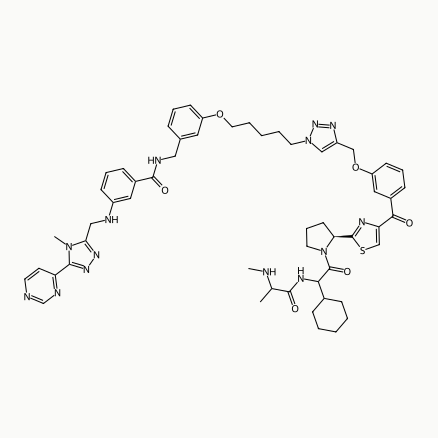 CNC(C)C(=O)NC(C(=O)N1CCC[C@H]1c1nc(C(=O)c2cccc(OCc3cn(CCCCCOc4cccc(CNC(=O)c5cccc(NCc6nnc(-c7ccncn7)n6C)c5)c4)nn3)c2)cs1)C1CCCCC1